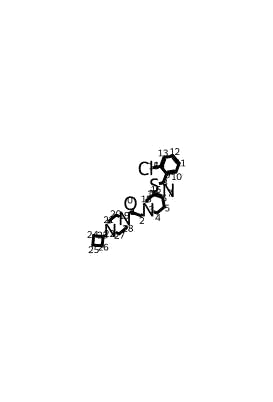 O=C(CN1CCc2nc(-c3ccccc3Cl)sc2C1)N1CCN(C2CCC2)CC1